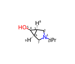 CC(C)N1C[C@@H]2C(O)[C@@H]2C1